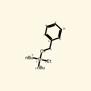 CCC[CH2][Sn]([CH2]C)([CH2]CCC)[O]Cc1ccccc1